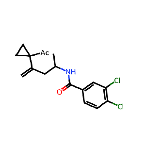 C=C(CC(C)NC(=O)c1ccc(Cl)c(Cl)c1)C1(C(C)=O)CC1